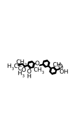 Cc1c(C(=O)O)cccc1-c1cccc(COc2ccc(C(=O)CC(C)(C)C)c(O)c2C)c1